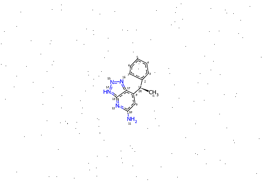 C[C@H](c1ccccc1)c1cc(N)nc2[nH]nnc12